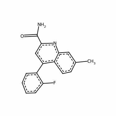 Cc1ccc2c(-c3ccccc3F)cc(C(N)=O)nc2c1